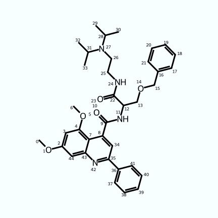 COc1cc(OC)c2c(C(=O)NC(COCc3ccccc3)C(=O)NCCN(C(C)C)C(C)C)cc(-c3ccccc3)nc2c1